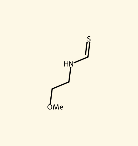 COCCNC=S